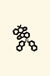 CC1(C)c2ccccc2C2(c3ccccc3-c3c(N(c4ccc5ccccc5c4)c4ccc5ccccc5c4)cccc32)c2ccccc21